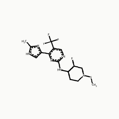 CSN1CCC(Nc2ncc(C(F)(F)F)c(-c3c[nH]c(C)n3)n2)C(F)C1